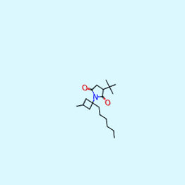 CCCCCCC1(N2C(=O)CC(C(C)(C)C)C2=O)CC(C)C1